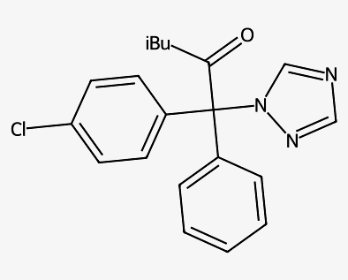 CCC(C)C(=O)C(c1ccccc1)(c1ccc(Cl)cc1)n1cncn1